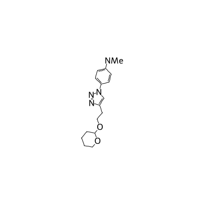 CNc1ccc(-n2cc(CCOC3CCCCO3)nn2)cc1